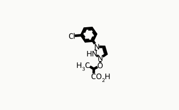 CC(ON1C=CN(c2cccc(Cl)c2)N1)C(=O)O